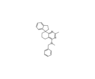 Cc1nc(N(C)Cc2ccccc2)c2c(n1)C1(CCC2)CCc2ccccc21